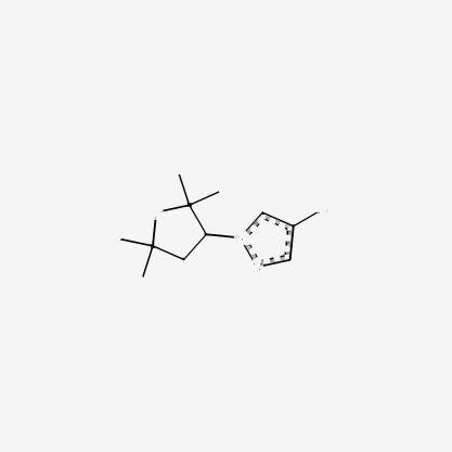 CC1(C)CC(n2cc(Br)cn2)C(C)(C)O1